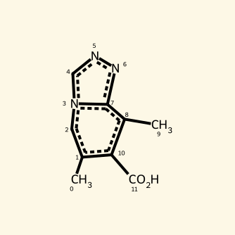 Cc1cn2cnnc2c(C)c1C(=O)O